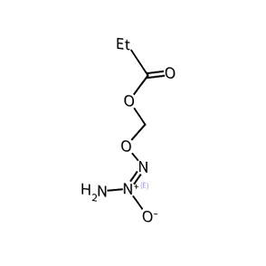 CCC(=O)OCO/N=[N+](\N)[O-]